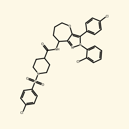 O=C(NC1CCCOc2c1nn(-c1ccccc1Cl)c2-c1ccc(Cl)cc1)C1CCN(S(=O)(=O)c2ccc(Cl)cc2)CC1